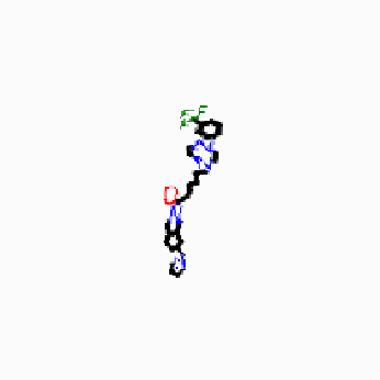 O=C(CCCCCN1CCN(c2cccc(C(F)(F)F)c2)CC1)n1cc2ccc(CN3CCCC3)cc2c1